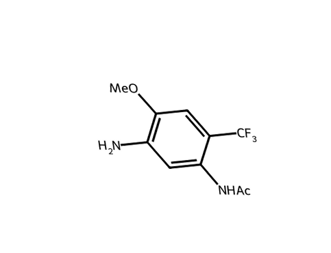 COc1cc(C(F)(F)F)c(NC(C)=O)cc1N